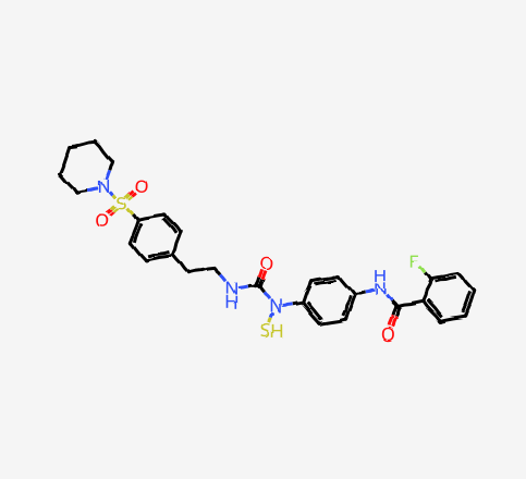 O=C(Nc1ccc(N(S)C(=O)NCCc2ccc(S(=O)(=O)N3CCCCC3)cc2)cc1)c1ccccc1F